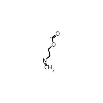 C=NCCO[C]=O